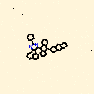 c1ccc(-c2nc(-c3c4ccccc4c(-c4ccc5cc6ccccc6cc5c4)c4ccccc34)c3c(n2)-c2cccc4cccc-3c24)cc1